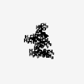 CNC(=O)C(=O)C(CC1CC1)NC(=O)[C@@H]1[C@@H]2[C@H](CN1C(=O)[C@@H](NC(=O)N[C@H](CN(C)S(=O)(=O)N(C)C)C(C)(C)C)C(C)(C)C)C2(C)C